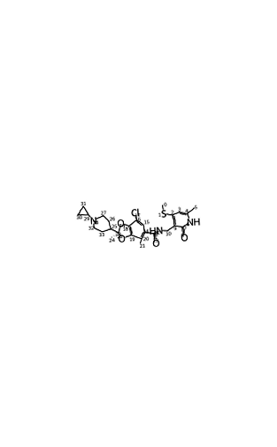 CSc1cc(C)[nH]c(=O)c1CNC(=O)c1cc(Cl)c2c(c1C)O[C@@](C)(C1CCN(C3CC3)CC1)O2